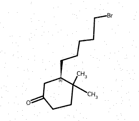 CC1(C)CCC(=O)C[C@H]1CCCCCBr